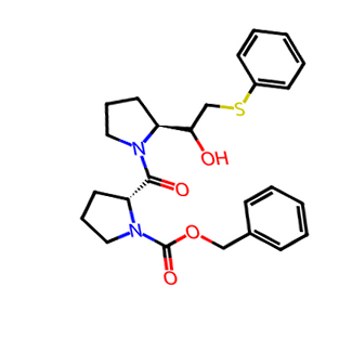 O=C(OCc1ccccc1)N1CCC[C@@H]1C(=O)N1CCC[C@H]1C(O)CSc1ccccc1